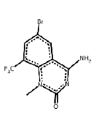 Cn1c(=O)nc(N)c2cc(Br)cc(C(F)(F)F)c21